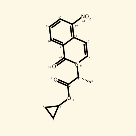 C[C@H](C(=O)OC1CC1)n1ccc2c([N+](=O)[O-])cccc2c1=O